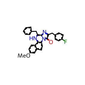 COc1ccc2c(ccc3c2[nH]c(Cc2ccccc2)c2nc(Cc4ccc(F)cc4)c(=O)n3-2)c1